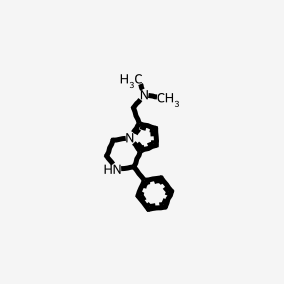 CN(C)Cc1ccc2n1CCNC2c1ccccc1